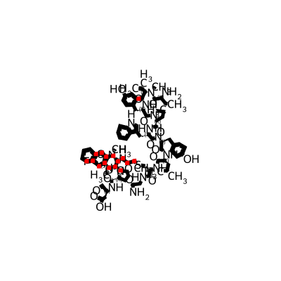 C=C(C)[C@@H](C(=O)N[C@@H](Cc1ccc(O)cc1)C(=O)N1CCC[C@@H]1C(=O)N[C@@H](Cc1c[nH]c2ccccc12)C(=O)N[C@@H](Cc1ccc(O)cc1)C(=O)N[C@@H](CC(C)C)C(=O)N[C@@H](CSCC(=O)N[C@@H](Cc1ccc(F)cc1)C(=O)N(C)[C@@H](Cc1ccccc1)C(=O)N(C)[C@@H](CCCC)C(=O)N1CCC[C@@H]1C(=O)N[C@H](C=O)CC(=O)O)C(=O)NCC(N)=O)N(C)C(=O)[C@@H](N)C(C)C